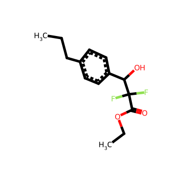 CCCc1ccc(C(O)C(F)(F)C(=O)OCC)cc1